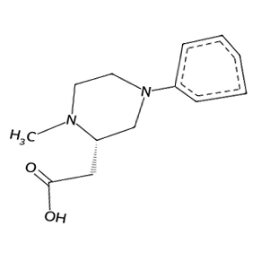 CN1CCN(c2ccccc2)C[C@@H]1CC(=O)O